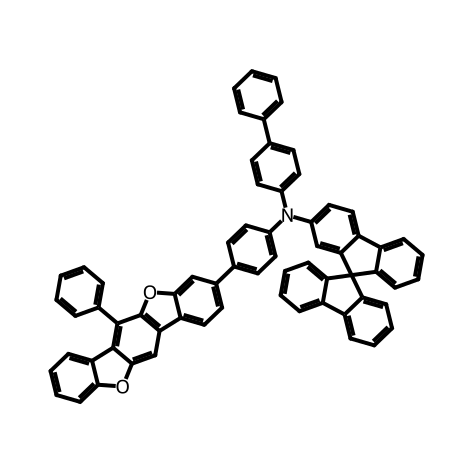 c1ccc(-c2ccc(N(c3ccc(-c4ccc5c(c4)oc4c(-c6ccccc6)c6c(cc45)oc4ccccc46)cc3)c3ccc4c(c3)C3(c5ccccc5-c5ccccc53)c3ccccc3-4)cc2)cc1